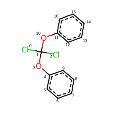 ClC(Cl)(Oc1ccccc1)Oc1ccccc1